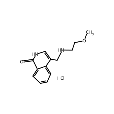 COCCNCc1c[nH]c(=O)c2ccccc12.Cl